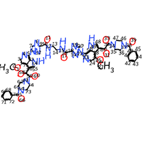 COc1cnc(-n2cnc(C(=O)NCCNC(=O)c3ncn(-c4ncc(OC)c5c(C(=O)C(=O)N6CCN(C(=O)c7ccccc7)CC6)c[nH]c45)n3)n2)c2[nH]cc(C(=O)C(=O)N3CCN(C(=O)c4ccccc4)CC3)c12